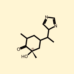 CC1CC(C(C)C2C=NC=N2)C[C@](C)(O)C1=O